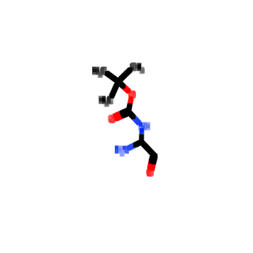 CC(C)(C)OC(=O)NC(N)C=O